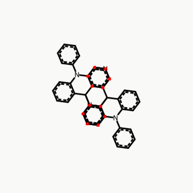 c1ccc(N(c2cccnc2)c2ccccc2C23c4ccccc4C(c4ccccc4N(c4ccccc4)c4cccnc4)(c4ccccc42)c2ccccc23)cc1